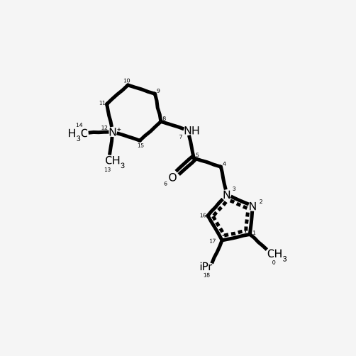 Cc1nn(CC(=O)NC2CCC[N+](C)(C)C2)cc1C(C)C